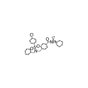 O=C(NC1(c2ccccc2)CC1)c1ccc(CN(Cc2ccccc2)S(=O)(=O)c2ccc(Cl)cc2)cc1